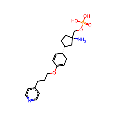 N[C@]1(COP(=O)(O)O)CC[C@@H](C2C=CC(OCCCc3ccncc3)=CC2)C1